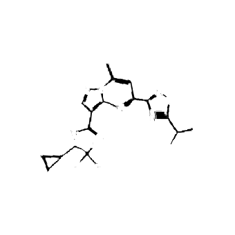 Cc1cc(-c2noc(C(C)C)n2)nc2c(C(=O)N[C@@H](C3CC3)C(F)(F)F)cnn12